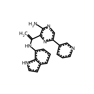 C=C(Nc1cccc2cc[nH]c12)c1nc(-c2cccnc2)cnc1N